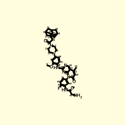 COc1cc(N2CCN(C(=O)CC34CC5CC(CC(C5)C3)C4)CC2)ccc1Nc1ncc2c(C)cc(=O)n(-c3ccc(F)c(NC(=O)CN)c3)c2n1